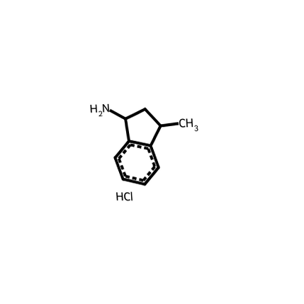 CC1CC(N)c2ccccc21.Cl